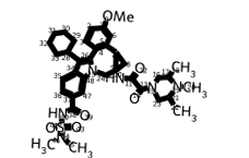 COc1ccc2c(c1)C1CC1(NC(=O)C(=O)N1CC(C)N(C)C(C)C1)Cn1c-2c(C2CCCCC2)c2ccc(C(=O)NS(=O)(=O)N(C)C)cc21